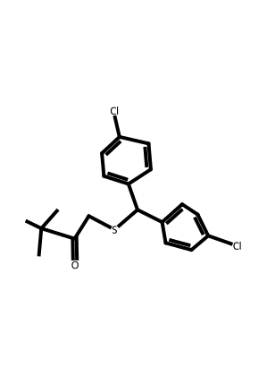 CC(C)(C)C(=O)CSC(c1ccc(Cl)cc1)c1ccc(Cl)cc1